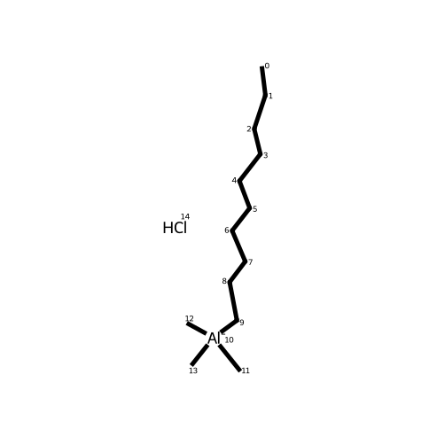 CCCCCCCCC[CH2][Al-]([CH3])([CH3])[CH3].Cl